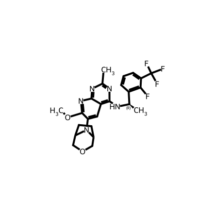 COc1nc2nc(C)nc(N[C@H](C)c3cccc(C(F)(F)F)c3F)c2cc1N1C2CCC1COC2